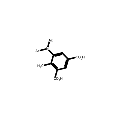 CC(=O)N(C(C)=O)c1cc(C(=O)O)cc(C(=O)O)c1C